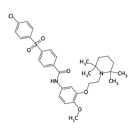 COc1ccc(NC(=O)c2ccc(S(=O)(=O)c3ccc(Cl)cc3)cc2)cc1OCCN1C(C)(C)CCCC1(C)C